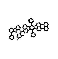 Cc1ccc(N(c2ccc3c4c(-c5ccccc5)c5c6ccc7c8cccc9cccc(c%10ccc(c5c(-c5ccccc5)c4c4cccc2c43)c6c%107)c98)c2cccc3c2oc2c(-c4ccccc4)cccc23)c(C)c1